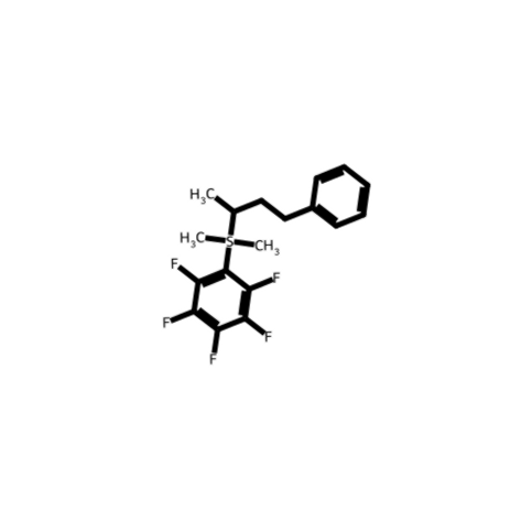 CC(CCc1ccccc1)S(C)(C)c1c(F)c(F)c(F)c(F)c1F